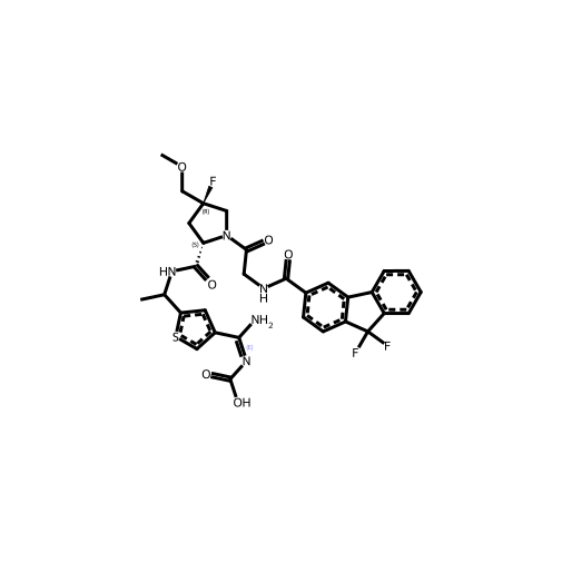 COC[C@@]1(F)C[C@@H](C(=O)NC(C)c2cc(/C(N)=N\C(=O)O)cs2)N(C(=O)CNC(=O)c2ccc3c(c2)-c2ccccc2C3(F)F)C1